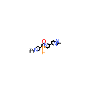 Cc1cn2cc(C3=CN4C(=O)C=C(C5CCN(C(C)C)CC5)PC4C=C3)ccc2n1